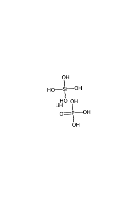 O=P(O)(O)O.O[Si](O)(O)O.[LiH]